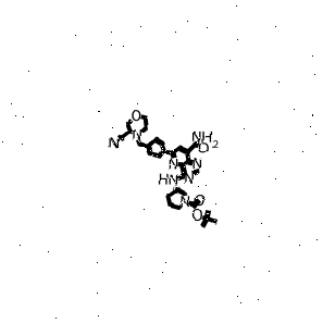 CC(C)(C)OC(=O)N1CCC[C@H](Nc2ncnc3c(C(N)=O)cc(-c4ccc(CN5CCOCC5C#N)cc4)nc23)C1